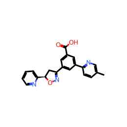 Cc1ccc(-c2cc(C(=O)O)cc(C3=NO[C@@H](c4ccccn4)C3)c2)nc1